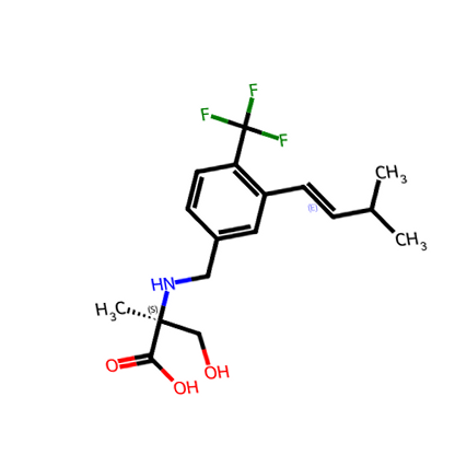 CC(C)/C=C/c1cc(CN[C@@](C)(CO)C(=O)O)ccc1C(F)(F)F